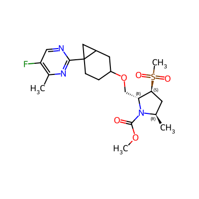 COC(=O)N1[C@H](C)C[C@H](S(C)(=O)=O)[C@H]1COC1CCC2(c3ncc(F)c(C)n3)CC2C1